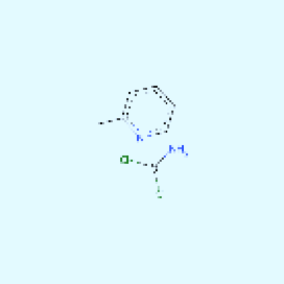 Cc1ccccn1.[NH2][Pt]([Cl])[Cl]